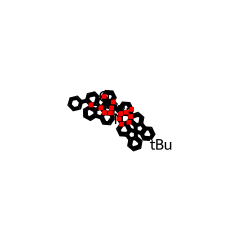 CC(C)(C)c1ccc2c(c1)C1(c3ccccc3-c3ccc(N(c4ccc5c(c4)C4(c6cc(C7CCCCC7)ccc6Oc6ccc(C7CCCCC7)cc64)c4ccccc4-5)c4ccccc4-c4cccc5ccccc45)cc31)c1cc(C(C)(C)C)ccc1-2